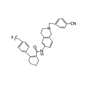 N#Cc1ccc(CN2CCc3cc(NC(=O)C4=C(c5ccc(C(F)(F)F)cc5)CCCC4)ccc3C2)cc1